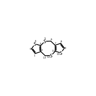 c1cc2c(s1)SCc1ccsc1SC2